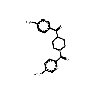 Cc1ccc(C(=O)C2CCN(C(=O)c3ccc(C(=O)O)cn3)CC2)cc1